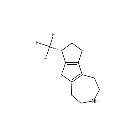 FC(F)(F)[C@@H]1CCc2c1sc1c2CCNCC1